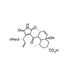 C=C[C@H](CCCCC)C1=C(C(=O)C2C3[C@@H](C)C[C@@H](C(=O)O)C[C@@]3(O)C=C[C@H]2C)C(=O)NC1=O